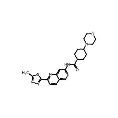 Cc1nnc(-c2ccc3cnc(NC(=O)C4CCC(N5CCOCC5)CC4)cc3n2)s1